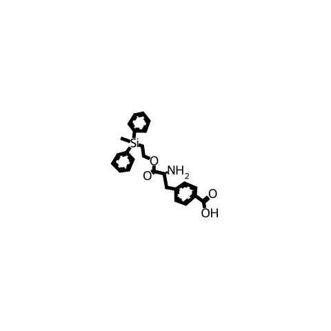 C[Si](CCOC(=O)[C@@H](N)Cc1ccc(C(=O)O)cc1)(c1ccccc1)c1ccccc1